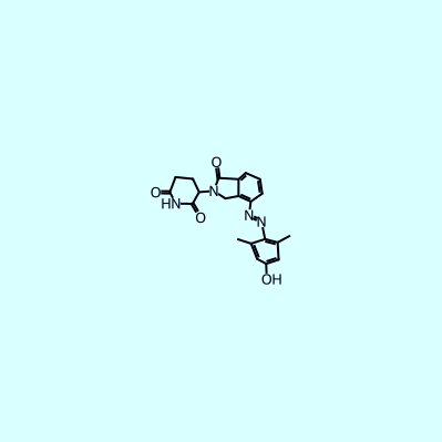 Cc1cc(O)cc(C)c1/N=N/c1cccc2c1CN(C1CCC(=O)NC1=O)C2=O